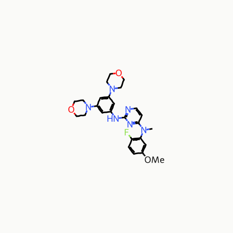 COc1ccc(F)c(N(C)c2ccnc(Nc3cc(N4CCOCC4)cc(N4CCOCC4)c3)n2)c1